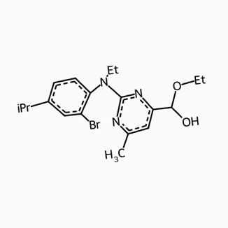 CCOC(O)c1cc(C)nc(N(CC)c2ccc(C(C)C)cc2Br)n1